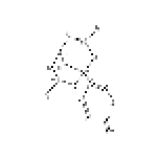 C=C/C=C\C(=C/C)C12CC(C)CC(CC(C)C1)C2